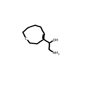 NCC(O)/C1=C/CCCCCCC1